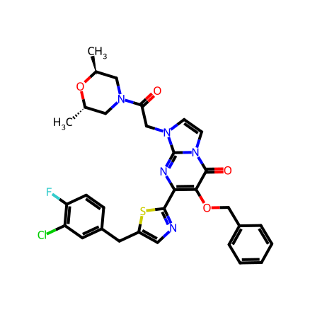 C[C@H]1CN(C(=O)Cn2ccn3c(=O)c(OCc4ccccc4)c(-c4ncc(Cc5ccc(F)c(Cl)c5)s4)nc23)C[C@H](C)O1